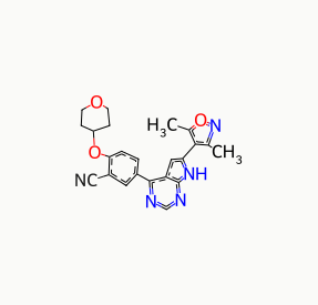 Cc1noc(C)c1-c1cc2c(-c3ccc(OC4CCOCC4)c(C#N)c3)ncnc2[nH]1